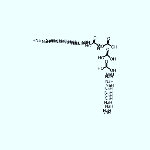 O=C(O)O.O=C(O)O.O=C(O)O.O=C(O)O.[NaH].[NaH].[NaH].[NaH].[NaH].[NaH].[NaH].[NaH].[NaH].[NaH].[NaH].[NaH].[NaH].[NaH].[NaH].[NaH].[NaH].[NaH].[NaH].[NaH].[NaH].[NaH].[NaH].[NaH].[NaH].[NaH]